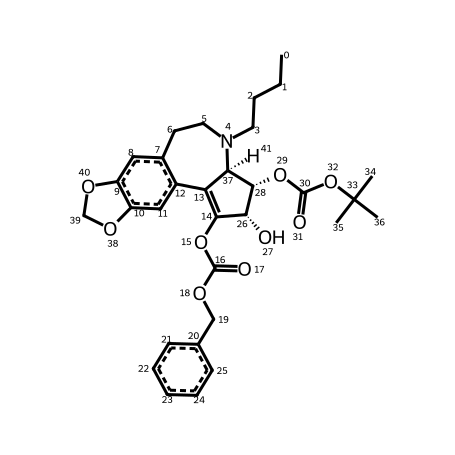 CCCCN1CCc2cc3c(cc2C2=C(OC(=O)OCc4ccccc4)[C@@H](O)[C@@H](OC(=O)OC(C)(C)C)[C@@H]21)OCO3